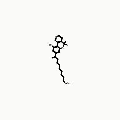 CCCCCCCCCCCCCCCCCCC(C)c1cc(O)c2c(c1)OC(C)(C)c1ccncc1-2